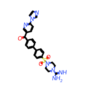 N=C(N)N1CCN(S(=O)(=O)c2ccc(-c3ccc(C(=O)c4ccc(-n5ccnc5)nc4)cc3)cc2)CC1